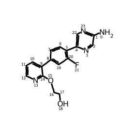 Nc1cnc(-c2ccc(-c3cccnc3OCCO)cc2F)cn1